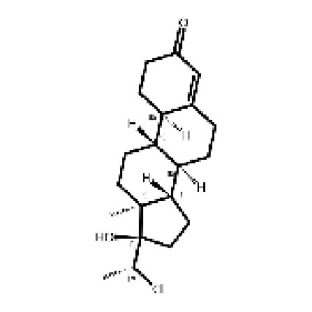 C[C@@H](Cl)[C@@]1(O)CC[C@H]2[C@@H]3CCC4=CC(=O)CC[C@@H]4[C@H]3CC[C@@]21C